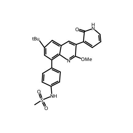 COc1nc2c(-c3ccc(NS(C)(=O)=O)cc3)cc(C(C)(C)C)cc2cc1-c1ccc[nH]c1=O